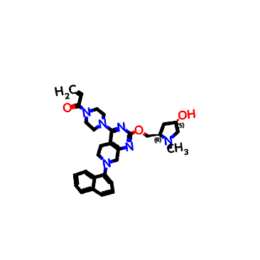 C=CC(=O)N1CCN(c2nc(OC[C@H]3C[C@H](O)CN3C)nc3c2CCN(c2cccc4ccccc24)C3)CC1